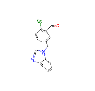 O=Cc1cc(Cn2cnc3ccccc32)ccc1Br